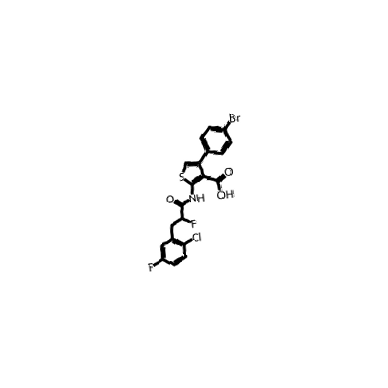 O=C(O)c1c(-c2ccc(Br)cc2)csc1NC(=O)C(F)Cc1cc(F)ccc1Cl